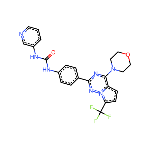 O=C(Nc1ccc(-c2nc(N3CCOCC3)c3ccc(C(F)(F)F)n3n2)cc1)Nc1cccnc1